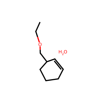 CCOCC1C=CCCC1.O